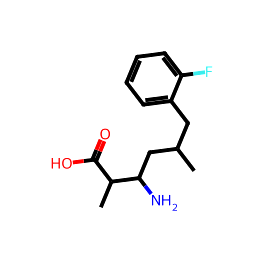 CC(Cc1ccccc1F)CC(N)C(C)C(=O)O